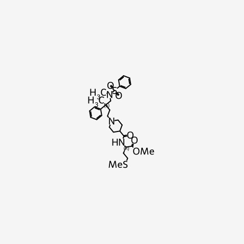 COC(=O)[C@@H](CCSC)NC(=O)C1CCN(CC[C@](C)(CN(C)S(=O)(=O)c2ccccc2)c2ccccc2)CC1